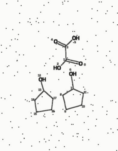 O=C(O)C(=O)O.OC1CCCC1.OC1CCCC1